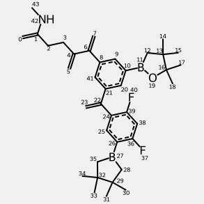 C=C(CCC(=C)C(=C)c1cc(B2CC(C)(C)C(C)(C)O2)cc(C(=C)c2cc(B3CC(C)(C)C(C)(C)C3)c(F)cc2F)c1)NC